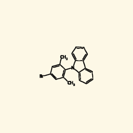 Cc1cc(Br)cc(C)c1-n1c2ccccc2c2ccccc21